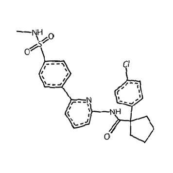 CNS(=O)(=O)c1ccc(-c2cccc(NC(=O)C3(c4ccc(Cl)cc4)CCCC3)n2)cc1